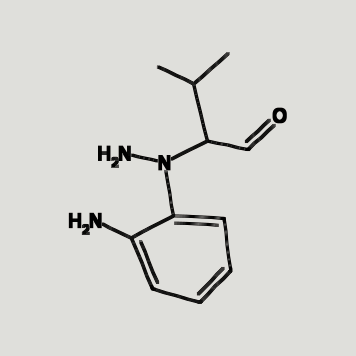 CC(C)C(C=O)N(N)c1ccccc1N